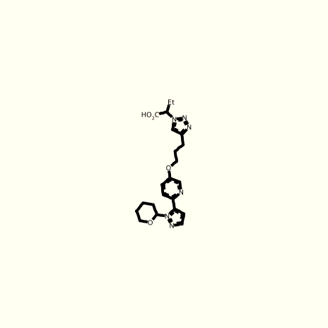 CCC(C(=O)O)n1cc(CCCOc2ccc(-c3ccnn3C3CCCCO3)nc2)nn1